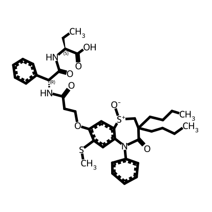 CCCCC1(CCCC)C[S+]([O-])c2cc(OCCC(=O)N[C@@H](C(=O)N[C@@H](CC)C(=O)O)c3ccccc3)c(SC)cc2N(c2ccccc2)C1=O